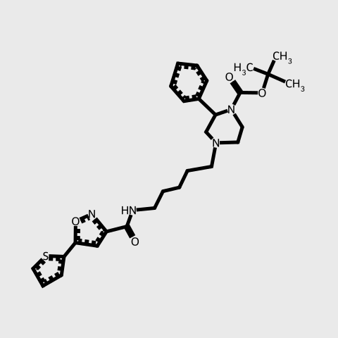 CC(C)(C)OC(=O)N1CCN(CCCCCNC(=O)c2cc(-c3cccs3)on2)CC1c1ccccc1